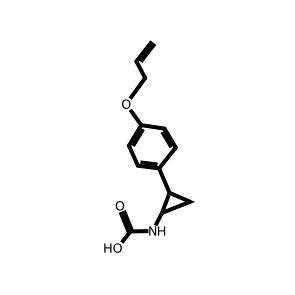 C=CCOc1ccc(C2CC2NC(=O)O)cc1